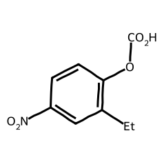 CCc1cc([N+](=O)[O-])ccc1OC(=O)O